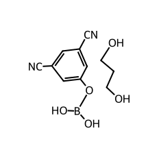 N#Cc1cc(C#N)cc(OB(O)O)c1.OCCCO